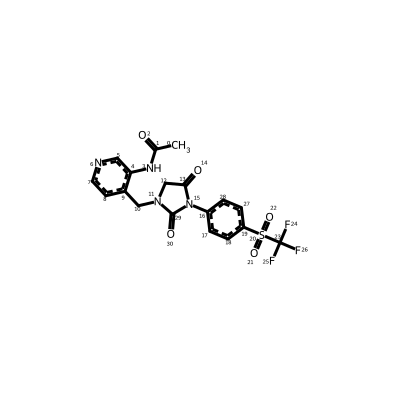 CC(=O)Nc1cnccc1CN1CC(=O)N(c2ccc(S(=O)(=O)C(F)(F)F)cc2)C1=O